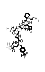 CCN1CCCC[C@@H]1C(=O)N[C@H](C(=O)N(C)[C@H](C[C@@H](OC(C)=O)c1nc(C(=O)N[C@@H](Cc2ccc(C(F)(F)F)cc2)C[C@H](C)C(=O)O)cs1)C(C)C)C1CCC1